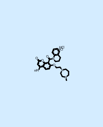 CCCc1cc(=O)oc2c(C(=O)N3CCCc4ccccc43)c(OCCN3CCCN(C)CC3)ccc12.Cl.Cl